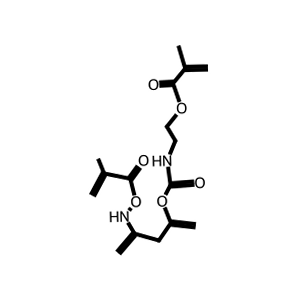 C=C(CC(=C)OC(=O)NCCOC(=O)C(=C)C)NOC(=O)C(=C)C